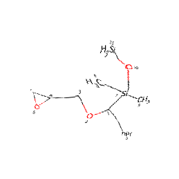 CCCC(OCC1CO1)[Si](C)(C)O[SiH3]